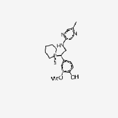 COc1cc(C(CNc2cnc(C)cn2)P2(=S)CCCCC2)ccc1O